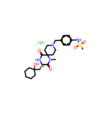 CN1C(=O)[C@@H](CC2(O)CCCCC2)NC(=O)C12CCN(Cc1ccc(NS(C)(=O)=O)cc1)CC2.Cl